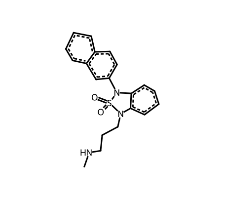 CNCCCN1c2ccccc2N(c2ccc3ccccc3c2)S1(=O)=O